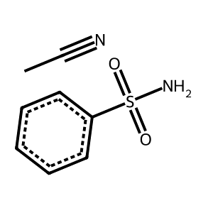 CC#N.NS(=O)(=O)c1ccccc1